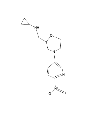 O=[N+]([O-])c1ccc(N2CCOC(CNC3CC3)C2)cn1